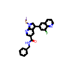 O=C(NCc1ccccc1)c1cnc2c(c1)c(-c1cc(F)c3ncccc3c1)cn2SI